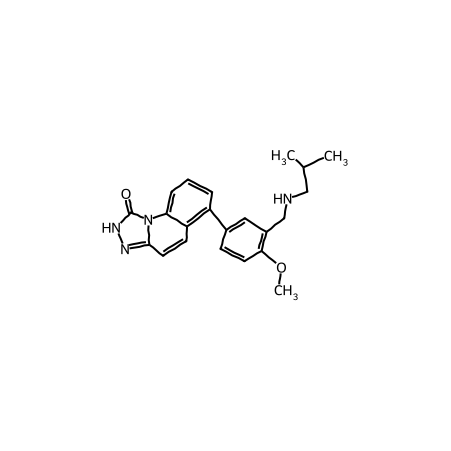 COc1ccc(-c2cccc3c2ccc2n[nH]c(=O)n23)cc1CNCC(C)C